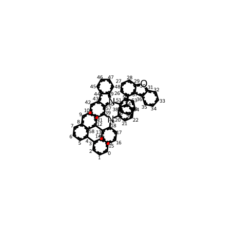 c1ccc(-c2cccc3cccc(-c4ccccc4N(c4cccc(-c5cccc6oc7ccccc7c56)c4)c4cccc5c6ccccc6n(-c6ccccc6)c45)c23)cc1